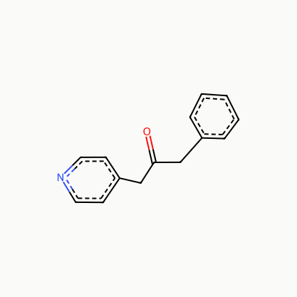 O=C(Cc1ccccc1)Cc1ccncc1